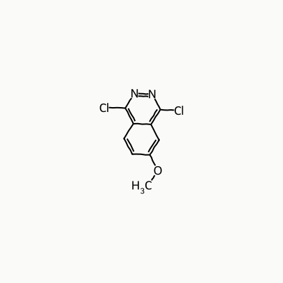 COc1ccc2c(Cl)nnc(Cl)c2c1